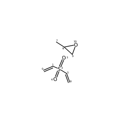 C=CS(=O)(=O)C=C.CC1CO1